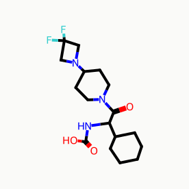 O=C(O)NC(C(=O)N1CCC(N2CC(F)(F)C2)CC1)C1CCCCC1